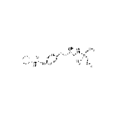 CC(C)(CN)NCC(O)COc1ccc(NC(=O)NC2CCCCC2)cc1